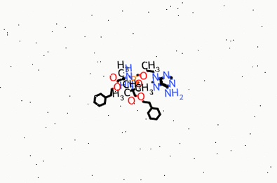 C[C@H](Cn1cnc2c(N)ncnc21)OCP(=O)(NC(C)(C)C(=O)OCCC1CCCCC1)NC(C)(C)C(=O)OCCC1CCCCC1